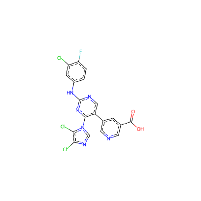 O=C(O)c1cncc(-c2cnc(Nc3ccc(F)c(Cl)c3)nc2-n2cnc(Cl)c2Cl)c1